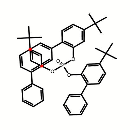 CC(C)(C)c1ccc(-c2ccccc2)c(OP(=O)(Oc2cc(C(C)(C)C)ccc2-c2ccccc2)Oc2cc(C(C)(C)C)ccc2-c2ccccc2)c1